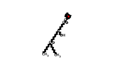 CCCCCCCCC(CCCCCCCC)OC(=O)CCCCCCCN(CCO)CCCCCCOC(=O)OCC12CC3CC(CC(C3)C1)C2